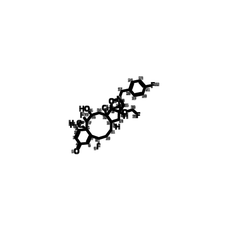 C[C@]12C=CC(=O)C=C1[C@@H](F)CC[C@@H]1C[C@H]3CN(Cc4ccc(F)cc4)O[C@@]3(C(=O)OCF)[C@@]1(C)C[C@H](O)[C@]2(C)F